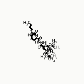 CCCCON1C(=O)N2C[C@@H]1CC[C@H]2C(=O)NNC(=O)C(CNC(=O)OC(C)(C)C)NC(=O)OC(C)(C)C